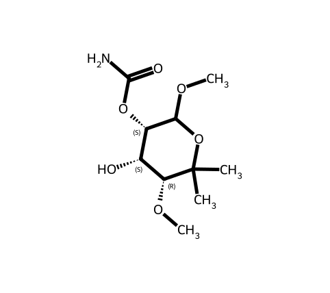 COC1OC(C)(C)[C@H](OC)[C@H](O)[C@@H]1OC(N)=O